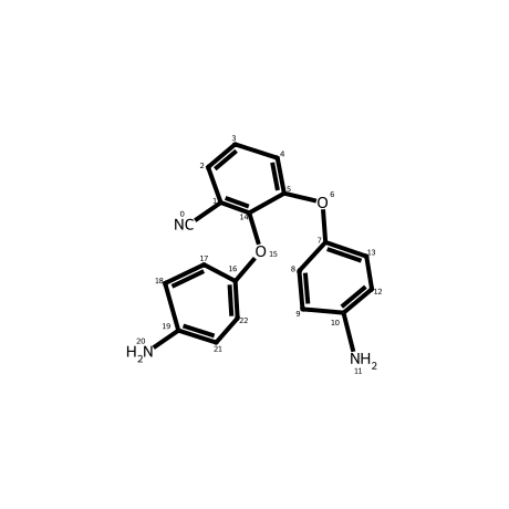 N#Cc1cccc(Oc2ccc(N)cc2)c1Oc1ccc(N)cc1